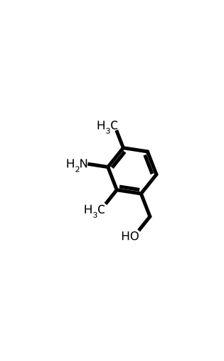 Cc1ccc(CO)c(C)c1N